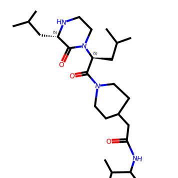 CC(C)C[C@@H]1NCCN([C@@H](CC(C)C)C(=O)N2CCC(CC(=O)NC(C)C(C)C)CC2)C1=O